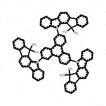 CC1(C)c2ccccc2-c2ccc3c4ccccc4n(-c4ccc5c(c4)c4ccc(-n6c7ccccc7c7ccc8c(c76)C(C)(C)c6ccccc6-8)cc4c4ccc(-n6c7ccccc7c7ccc8c(c76)C(C)(C)c6ccccc6-8)cc54)c3c21